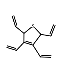 C=CC1=C(C=C)C(C=C)SC1C=C